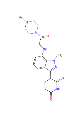 CC(C)N1CCN(C(=O)CNc2cccc3c(C4CCC(=O)NC4=O)nn(C)c23)CC1